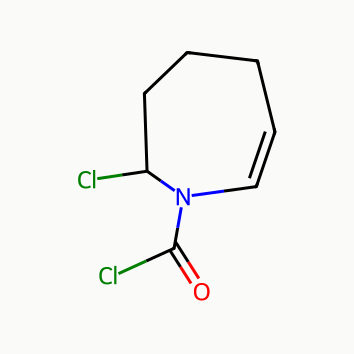 O=C(Cl)N1C=CCCCC1Cl